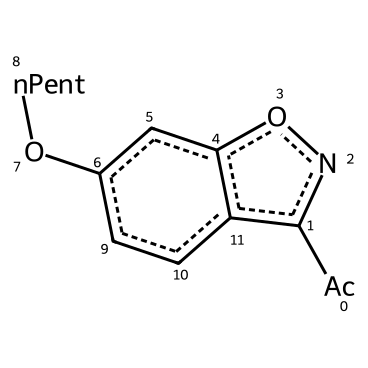 [CH2]C(=O)c1noc2cc(OCCCCC)ccc12